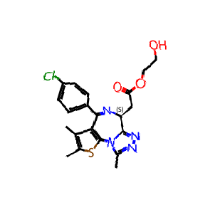 Cc1sc2c(c1C)C(c1ccc(Cl)cc1)=N[C@@H](CC(=O)OCCO)c1nnc(C)n1-2